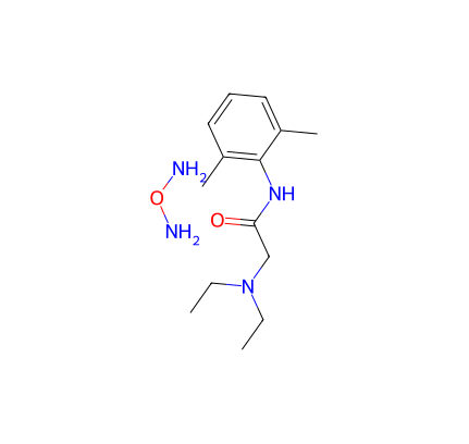 CCN(CC)CC(=O)Nc1c(C)cccc1C.NON